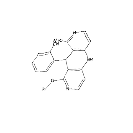 COc1nccc2c1C(c1ccccc1C#N)c1c(ccnc1OC(C)C)N2